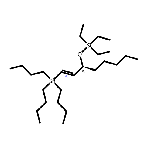 CCCCC[C@@H](/C=[CH]/[Sn]([CH2]CCC)([CH2]CCC)[CH2]CCC)O[Si](CC)(CC)CC